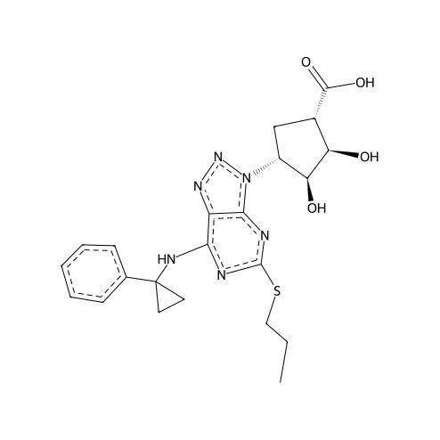 CCCSc1nc(NC2(c3ccccc3)CC2)c2nnn([C@@H]3C[C@H](C(=O)O)[C@@H](O)[C@H]3O)c2n1